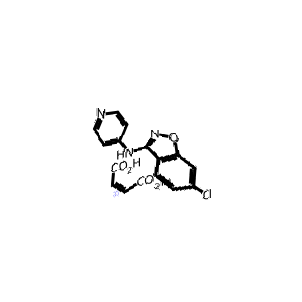 Clc1ccc2c(Nc3ccncc3)noc2c1.O=C(O)/C=C\C(=O)O